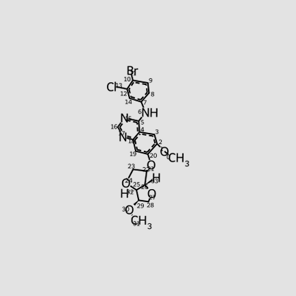 COc1cc2c(Nc3ccc(Br)c(Cl)c3)ncnc2cc1O[C@H]1CO[C@H]2[C@H]1OC[C@H]2OC